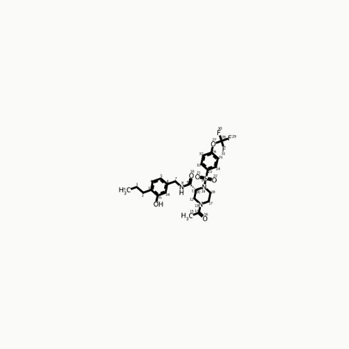 CCCc1ccc(CNC(=O)[C@H]2CN(C(C)=O)CCN2S(=O)(=O)c2ccc(OC(F)(F)F)cc2)cc1O